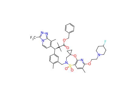 Cc1ccc([C@@H](c2ccn3c(C(F)(F)F)nnc3c2C)C(C)(C)C(=O)OCc2ccccc2)cc1CN1CC2(CC2)Oc2nc(OCCN3CCC(F)CC3)c(C)cc2S1(=O)=O